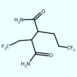 NC(=O)C(CCC(F)(F)F)C(CC(F)(F)F)C(N)=O